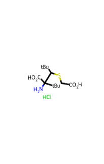 CC(C)(C)C(SCC(=O)O)C(N)(C(=O)O)C(C)(C)C.Cl